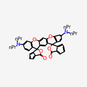 CCCN(CCC)c1ccc2c(c1)Oc1cc3c(cc1C21OC(=O)c2ccccc21)C1(OC(=O)c2ccccc21)c1ccc(N(CCC)CCC)cc1O3